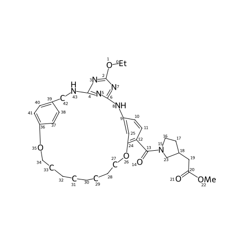 CCOc1nc2nc(n1)Nc1ccc(C(=O)N3CCC(CC(=O)OC)C3)c(c1)OCCCCCCCCOc1ccc(cc1)CN2